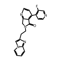 O=C1c2c(-c3ccncc3F)ccnc2CN1CCc1cn2ccccc2n1